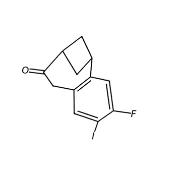 O=C1Cc2cc(I)c(F)cc2C2CC1C2